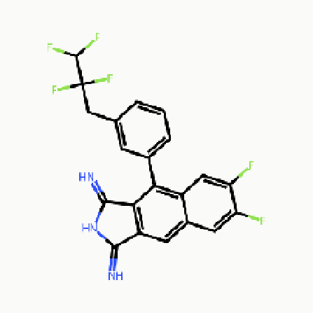 N=C1NC(=N)c2c1cc1cc(F)c(F)cc1c2-c1cccc(CC(F)(F)C(F)F)c1